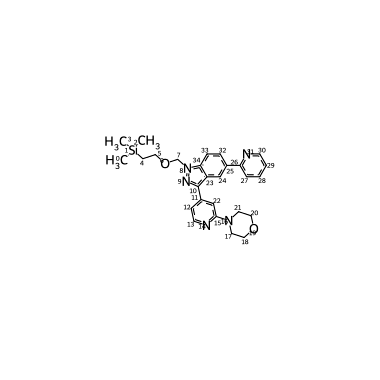 C[Si](C)(C)CCOCn1nc(-c2ccnc(N3CCOCC3)c2)c2cc(-c3ccccn3)ccc21